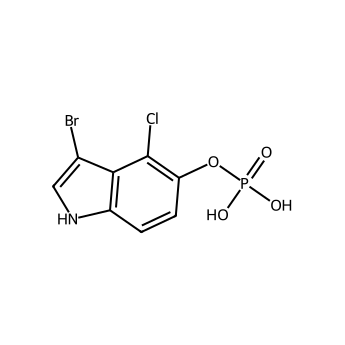 O=P(O)(O)Oc1ccc2[nH]cc(Br)c2c1Cl